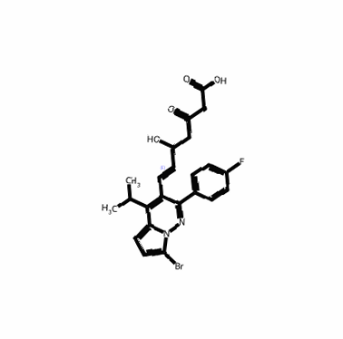 CC(C)c1c(/C=C/C(O)CC(=O)CC(=O)O)c(-c2ccc(F)cc2)nn2c(Br)ccc12